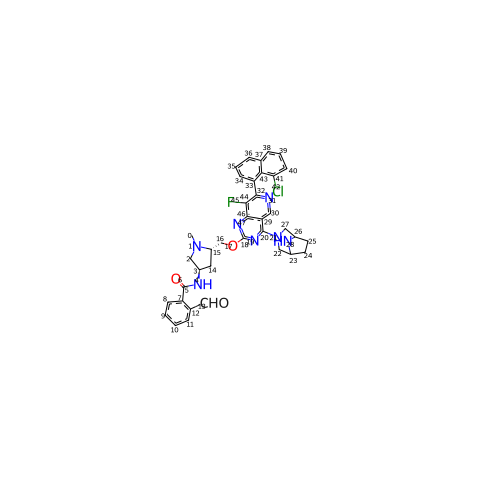 CN1C[C@H](NC(=O)c2ccccc2C=O)C[C@H]1COc1nc(N2CC3CCC(C2)N3)c2cnc(-c3cccc4cccc(Cl)c34)c(F)c2n1